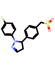 O=[SH](=O)Cc1ccc(C2CC=NN2c2ccc(F)cc2)cc1